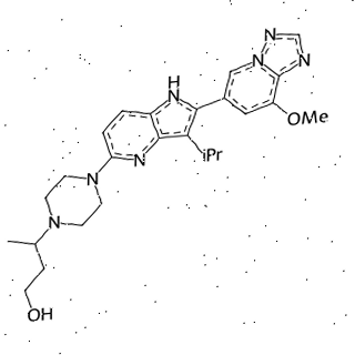 COc1cc(-c2[nH]c3ccc(N4CCN(C(C)CCO)CC4)nc3c2C(C)C)cn2ncnc12